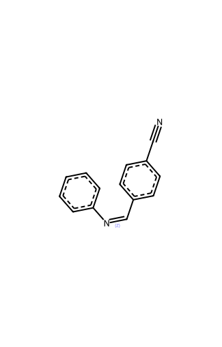 N#Cc1ccc(/C=N\c2ccccc2)cc1